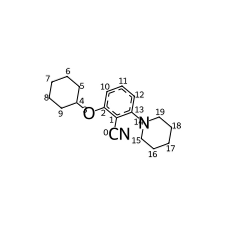 N#Cc1c(OC2CCCCC2)cccc1N1CCCCC1